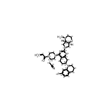 C=CC(=O)N1CCN(c2nc(N3C[C@@H]4OCCN(C)[C@H]4C3)nc3c2CC[C@@H](N2CCCc4ccc(F)cc42)C3)C[C@@H]1CC#N